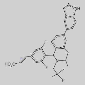 CC1Cc2cc(-c3ccc4[nH]ncc4c3)ccc2C(c2c(F)cc(/C=C/C(=O)O)cc2F)N1CC(C)(C)F